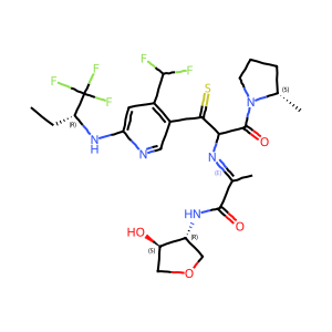 CC[C@@H](Nc1cc(C(F)F)c(C(=S)C(/N=C(\C)C(=O)N[C@@H]2COC[C@H]2O)C(=O)N2CCC[C@@H]2C)cn1)C(F)(F)F